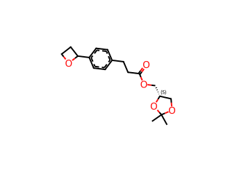 CC1(C)OC[C@@H](COC(=O)CCc2ccc(C3CCO3)cc2)O1